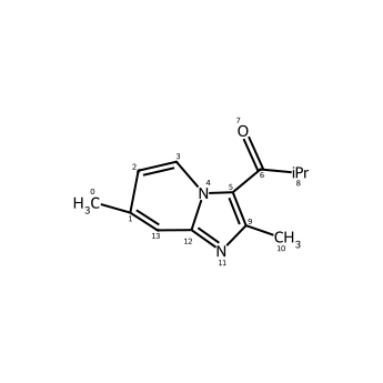 Cc1ccn2c(C(=O)C(C)C)c(C)nc2c1